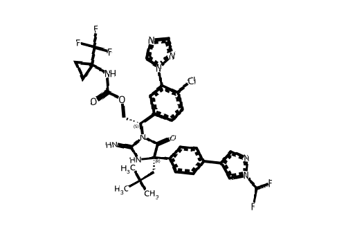 CC(C)(C)C[C@]1(c2ccc(-c3cnn(C(F)F)c3)cc2)NC(=N)N([C@H](COC(=O)NC2(C(F)(F)F)CC2)c2ccc(Cl)c(-n3cncn3)c2)C1=O